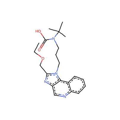 CCOCc1nc2cnc3ccccc3c2n1CCCN(C(=O)O)C(C)(C)C